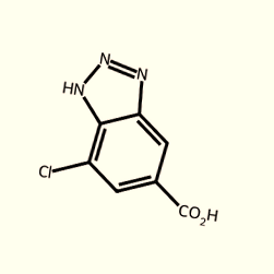 O=C(O)c1cc(Cl)c2[nH]nnc2c1